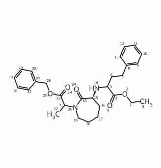 CCOC(=O)C(CCc1ccccc1)N[C@H]1CCCCN(C(C)C(=O)OCc2ccccc2)C1=O